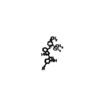 CC(C)[C@H]1CN(C)CCN1Cc1cccc2[nH]c(-c3n[nH]c4cc(C#N)ccc34)cc12